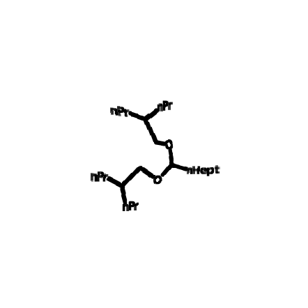 CCCCCCCC(OCC(CCC)CCC)OCC(CCC)CCC